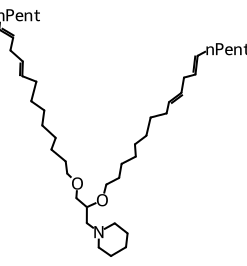 CCCCCC=CCC=CCCCCCCCCOCC(CN1CCCCC1)OCCCCCCCCC=CCC=CCCCCC